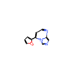 c1coc(-c2ccnc3cncn23)c1